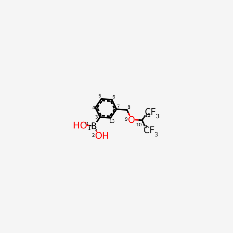 OB(O)c1cccc(COC(C(F)(F)F)C(F)(F)F)c1